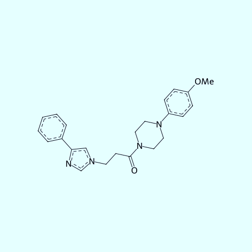 COc1ccc(N2CCN(C(=O)CCn3cnc(-c4ccccc4)c3)CC2)cc1